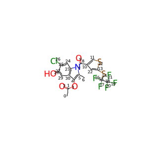 CC(=O)Oc1c(C)n(C(=O)c2csc(SC(F)(F)C(F)(F)F)c2)c2cc(Cl)c(O)cc12